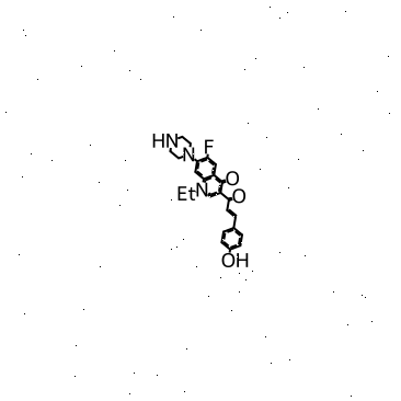 CCn1cc(C(=O)C=Cc2ccc(O)cc2)c(=O)c2cc(F)c(N3CCNCC3)cc21